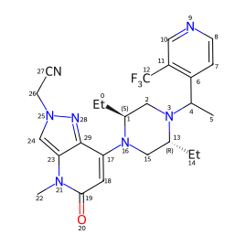 CC[C@H]1CN(C(C)c2ccncc2C(F)(F)F)[C@H](CC)CN1c1cc(=O)n(C)c2cn(CC#N)nc12